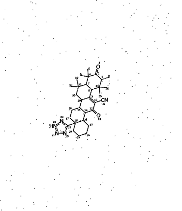 CC1C(=O)C(C)(C)C2C(C3=C(C#N)C(=O)C4C(CCC5(c6nn[nH]n6)CCCCC45)C3CC2(C)C)C1(C)C